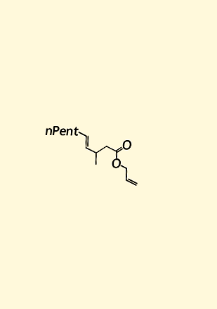 C=CCOC(=O)CC(C)C=CCCCCC